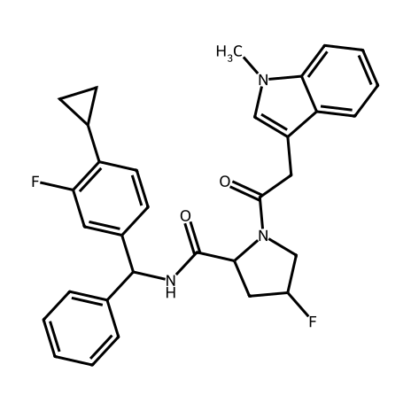 Cn1cc(CC(=O)N2CC(F)CC2C(=O)NC(c2ccccc2)c2ccc(C3CC3)c(F)c2)c2ccccc21